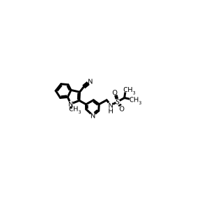 CC(C)S(=O)(=O)NCc1cncc(-c2c(C#N)c3ccccc3n2C)c1